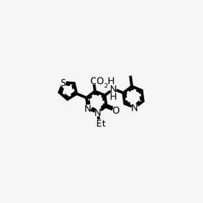 CCn1nc(-c2ccsc2)c(C(=O)O)c(Nc2cnccc2C)c1=O